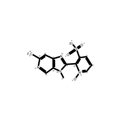 CCS(=O)(=O)c1ccc[n+]([O-])c1-c1nc2cc(C(F)(F)F)ncc2n1C